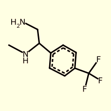 CNC(CN)c1ccc(C(F)(F)F)cc1